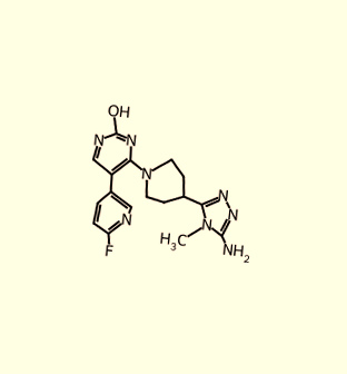 Cn1c(N)nnc1C1CCN(c2nc(O)ncc2-c2ccc(F)nc2)CC1